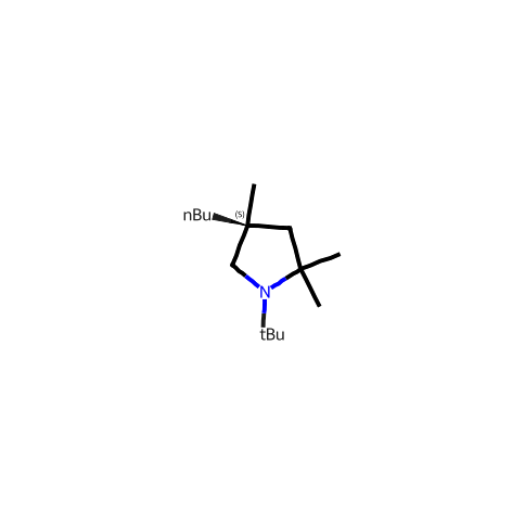 CCCC[C@]1(C)CN(C(C)(C)C)C(C)(C)C1